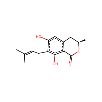 CC(C)=CCc1c(O)cc2c(c1O)C(=O)O[C@H](C)C2